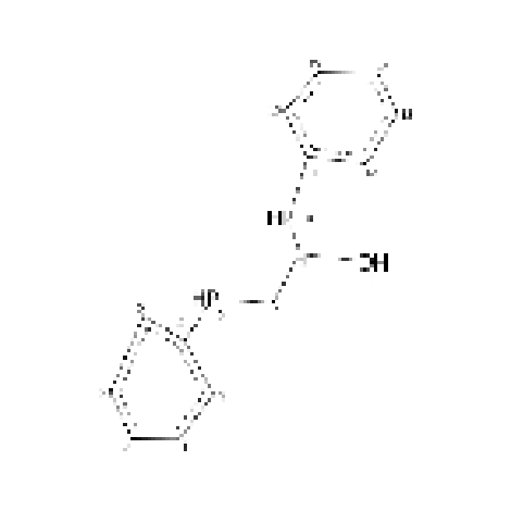 OC(CPc1ccccc1)Pc1ccccc1